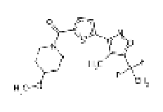 COC1CCN(C(=O)c2ccc(-c3noc(C(C)(F)F)c3C)s2)CC1